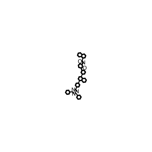 c1ccc(-c2nc(-c3ccccc3)nc(-c3ccc(-c4ccc(-c5ccc6oc7c(ccc8oc(-c9cccc%10ccccc9%10)nc87)c6c5)c5ccccc45)cc3)n2)cc1